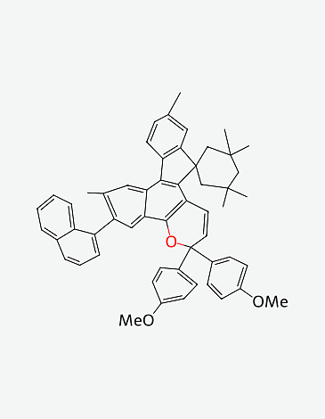 COc1ccc(C2(c3ccc(OC)cc3)C=Cc3c4c(c5cc(C)c(-c6cccc7ccccc67)cc5c3O2)-c2ccc(C)cc2C42CC(C)(C)CC(C)(C)C2)cc1